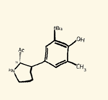 [CH2]C(=O)[C@H]1NCCC1c1cc(C)c(O)c(C(C)(C)C)c1